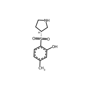 Cc1ccc(S(=O)(=O)[C@@H]2CCNC2)c(O)c1